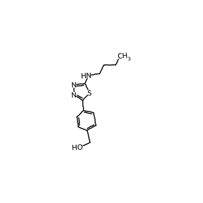 CCCCNc1nnc(-c2ccc(CO)cc2)s1